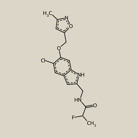 Cc1cc(COc2cc3[nH]c(CNC(=O)C(C)F)cc3cc2Cl)on1